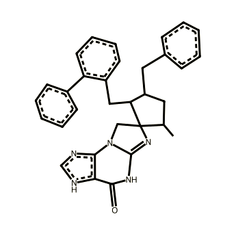 CC1CC(Cc2ccccc2)C(Cc2ccccc2-c2ccccc2)C12CN1C(=N2)NC(=O)c2[nH]cnc21